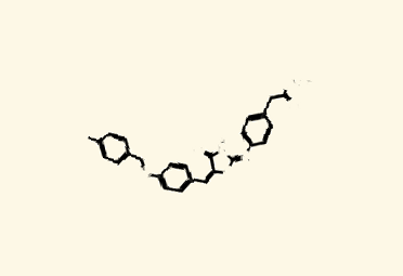 COC(=O)Cc1ccc(N=C2SC(=Cc3ccc(OCc4ccc(F)cc4)cc3)C(=O)N2C)cc1